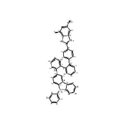 CCC(C)c1cc(C)c2oc(-c3ccc(-c4ccccc4-c4ccccc4-c4ccc5c(c4)c4ccccc4n5-c4ccccc4)cc3)nc2c1